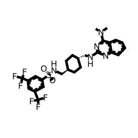 CN(C)c1nc(NC[C@H]2CC[C@H](CNS(=O)(=O)c3cc(C(F)(F)F)cc(C(F)(F)F)c3)CC2)nc2ccccc12